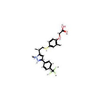 Cc1cc(SC[C@H](C)c2cc(-c3ccc(C(F)(F)F)cc3)nn2C)ccc1OCC(=O)O